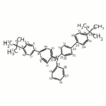 CC(C)(C)c1ccc(-c2ccc(N(c3ccccc3)c3ccc(-c4ccc(C(C)(C)C)cc4)cc3)cc2)cc1